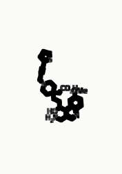 COc1ccc2ncc(CN)c(C(O)CCC3(CC(=O)O)CCN(CC#Cc4cccs4)CC3)c2c1